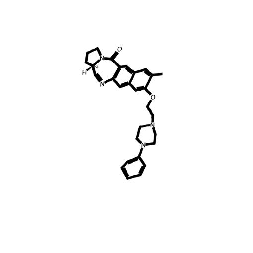 Cc1cc2cc3c(cc2cc1OCCN1CCN(c2ccccc2)CC1)N=C[C@@H]1CCCN1C3=O